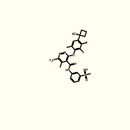 Cc1cc(C2(C#N)CCC2)c(F)c(F)c1Oc1nnc(C(F)(F)F)c(C)c1C(=O)Nc1cccc(S(C)(=N)=O)c1